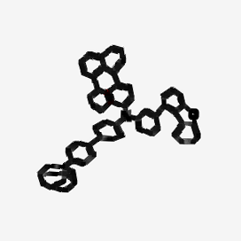 c1ccc(-c2cccc3cccc(-c4ccc(N(c5ccc(-c6ccc(C78CC9CC(CC(C9)C7)C8)cc6)cc5)c5cccc(-c6cccc7oc8ccccc8c67)c5)cc4)c23)cc1